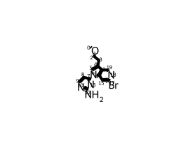 COCCc1cn(-c2ccnc(N)n2)c2cc(Br)ncc12